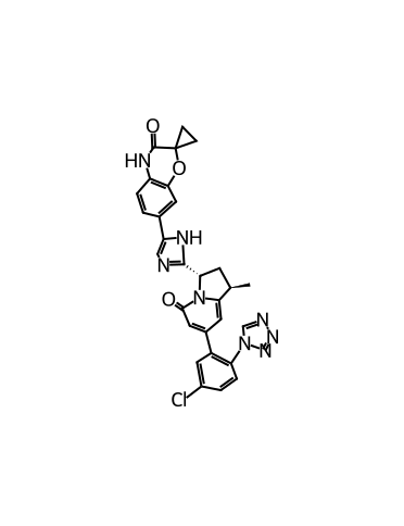 C[C@@H]1C[C@@H](c2ncc(-c3ccc4c(c3)OC3(CC3)C(=O)N4)[nH]2)n2c1cc(-c1cc(Cl)ccc1-n1cnnn1)cc2=O